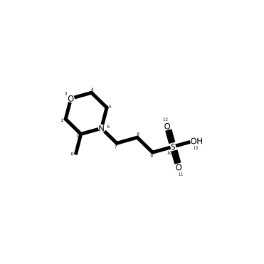 CC1COCCN1CCCS(=O)(=O)O